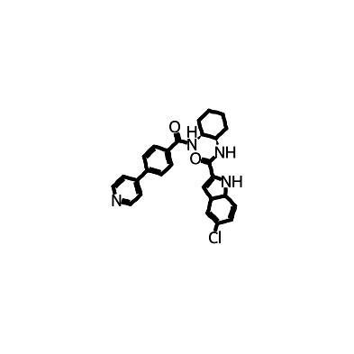 O=C(N[C@H]1CCCC[C@H]1NC(=O)c1ccc(-c2ccncc2)cc1)C1=CC2C=C(Cl)C=CC2N1